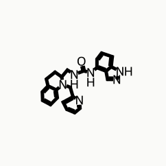 O=C(NCC1CCc2ccccc2N1Cc1ccccn1)Nc1cccc2[nH]ncc12